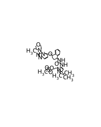 C[C@H]1COCCN1c1nnc2ccc(O[C@@H]3CC[C@H](NC(=O)Nc4cc(C(C)(C)C)nn4CCOS(C)(=O)=O)c4ccccc43)cn12